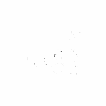 Cc1ccc(-c2ccc(Cl)cc2)c(C)c1C1=C(O)C2(CCC(F)(F)CC2)NC1=O